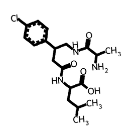 CC(C)CC(NC(=O)CC(CNC(=O)C(C)N)c1ccc(Cl)cc1)C(=O)O